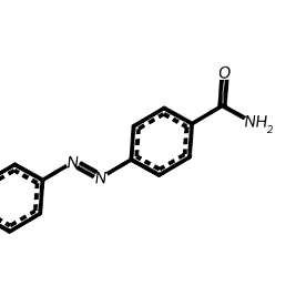 NC(=O)c1ccc(/N=N/c2ccccc2)cc1